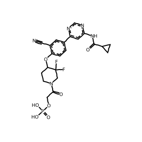 N#Cc1cc(-c2cc(NC(=O)C3CC3)ncn2)ccc1OC1CCN(C(=O)COP(=O)(O)O)CC1(F)F